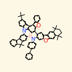 CC(C)(C)c1ccc2c(c1)c1c3c(oc4ccccc43)c3c4c1n2-c1cc2c(cc1B4N(c1ccc(-c4ccccc4)cc1)c1cc4oc5cc6c(cc5c4cc1-3)C(C)(C)CCC6(C)C)C(C)(C)c1ccccc1-2